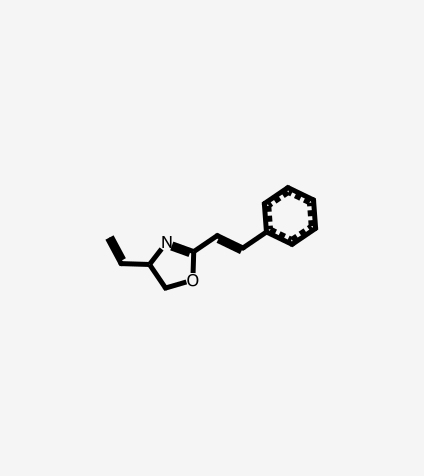 C=CC1COC(C=Cc2ccccc2)=N1